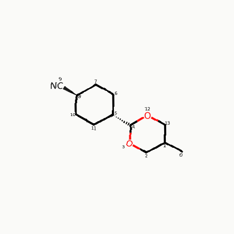 CC1COC([C@H]2CC[C@H](C#N)CC2)OC1